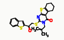 C=C(C)Cn1c(SCC(=O)c2cc3ccccc3s2)nc2sc3c(c2c1=O)CCCC3